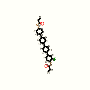 C=CC(=O)Sc1ccc(-c2ccc(-c3ccc(-c4ccc(SC(=O)C=C)c(F)c4)cc3)cc2)cc1